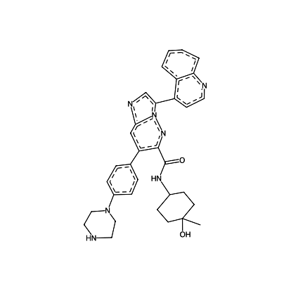 CC1(O)CCC(NC(=O)c2nn3c(-c4ccnc5ccccc45)cnc3cc2-c2ccc(N3CCNCC3)cc2)CC1